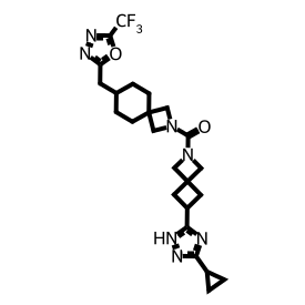 O=C(N1CC2(CCC(Cc3nnc(C(F)(F)F)o3)CC2)C1)N1CC2(CC(c3nc(C4CC4)n[nH]3)C2)C1